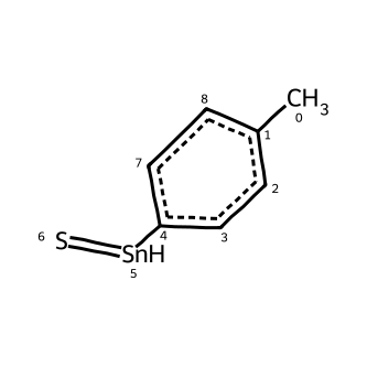 Cc1cc[c]([SnH]=[S])cc1